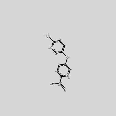 Bc1ccc(Oc2ccc([N+](=O)[O-])nc2)cn1